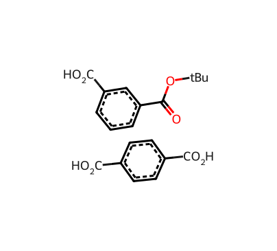 CC(C)(C)OC(=O)c1cccc(C(=O)O)c1.O=C(O)c1ccc(C(=O)O)cc1